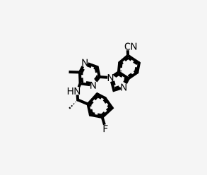 Cc1ncc(-n2cnc3ccc(C#N)cc32)nc1N[C@@H](C)c1cccc(F)c1